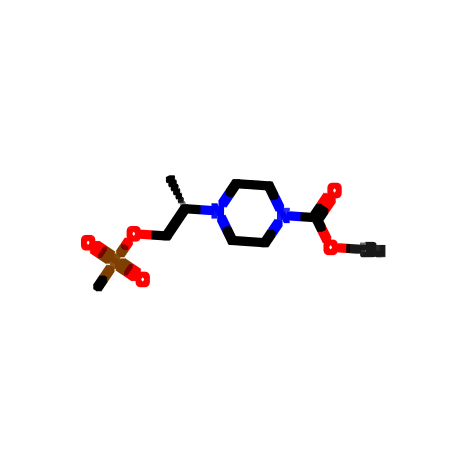 C[C@@H](COS(C)(=O)=O)N1CCN(C(=O)OC(C)(C)C)CC1